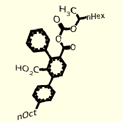 CCCCCCCCc1ccc(-c2ccc(C(=O)OC(=O)OC(C)CCCCCC)c(-c3ccccc3)c2C(=O)O)cc1